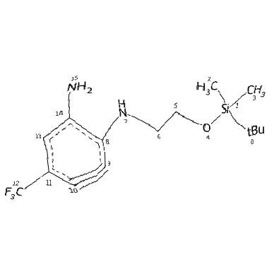 CC(C)(C)[Si](C)(C)OCCNc1c#cc(C(F)(F)F)cc1N